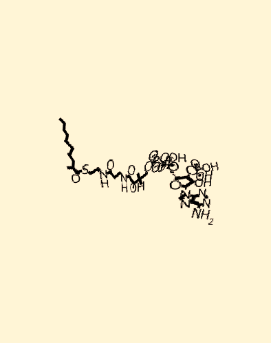 CCCCCCCCC(C)C(=O)SCCNC(=O)CCNC(=O)[C@H](O)C(C)(C)COP(=O)(O)OP(=O)(O)OC[C@H]1O[C@@H](n2cnc3c(N)ncnc32)[C@H](O)[C@@H]1OP(=O)(O)O